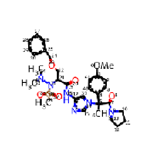 COc1ccc(C(C)(C(=O)N2CCCC2)n2cnc(NC(=O)C(COCc3ccccc3)N(N(C)C)S(C)(=O)=O)c2)cc1